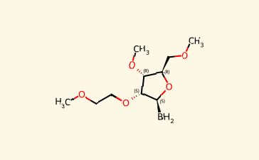 B[C@@H]1O[C@H](COC)[C@@H](OC)[C@H]1OCCOC